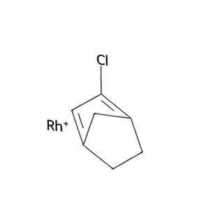 ClC1=C2CCC(=C1)C2.[Rh+]